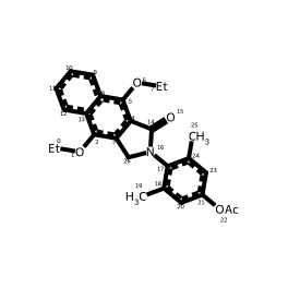 CCOc1c2c(c(OCC)c3ccccc13)C(=O)N(c1c(C)cc(OC(C)=O)cc1C)C2